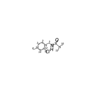 Cc1ccc(CNC(=O)C(C)C)c(Cl)c1